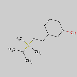 CC(C)S(C)(C)CCC1CCCC(O)C1